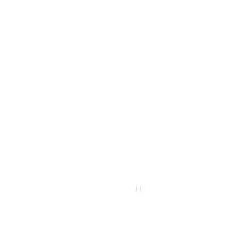 C#CC1=Cc2ccc(F)cc2OC1O